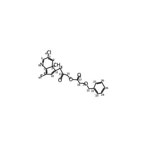 CC12C=C(Cl)C=NC1=C(F)C=C2CC(=O)COC(=O)COCc1ccccc1